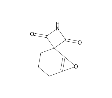 O=C1NC(=O)C12CCCC1=C2O1